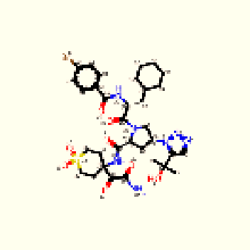 CC(C)(O)c1cnnn1[C@H]1C[C@@H](C(=O)NC2(C(=O)C(N)=O)CCS(=O)(=O)CC2)N(C(=O)[C@@H](CC2CCCCC2)NC(=O)c2ccc(Br)cc2)C1